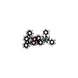 c1ccc(-c2nc(-c3ccccc3)nc(-c3cccc(-c4ccc(-n5c6ccccc6c6ccc7c8ccccc8n(-c8ccc9sc%10ccccc%10c9c8)c7c65)cc4)c3)n2)cc1